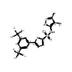 Cc1noc(NS(=O)(=O)c2ccc(-c3cc(C(F)(F)F)cc(C(F)(F)F)c3)s2)c1Br